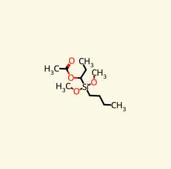 CCCC[Si](OC)(OC)C(CC)OC(C)=O